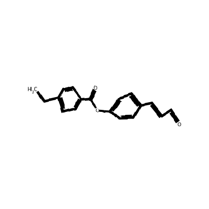 CCc1ccc(C(=O)Oc2ccc(/C=C/C=O)cc2)cc1